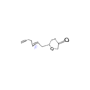 C=C/C=C/CC1CCC(=O)CO1